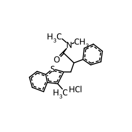 Cc1c(CC(C(=O)N(C)C)c2ccccc2)sc2ccccc12.Cl